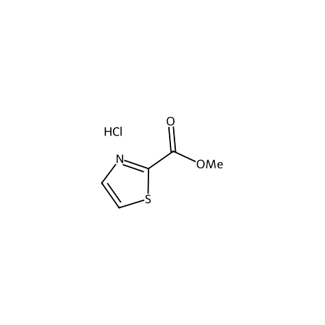 COC(=O)c1nccs1.Cl